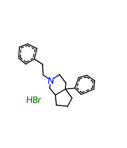 Br.c1ccc(CCN2CCC3(c4ccccc4)CCCC3C2)cc1